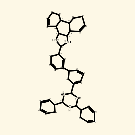 C1=CCC(C2NC(C3=CC=CC(C4=CC(C5NC6C7C=CCCC7C7CCC=CC7C6N5)CC=C4)C3)NC(C3C=CC=CC3)N2)C=C1